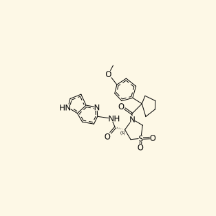 COc1ccc(C2(C(=O)N3CS(=O)(=O)C[C@@H]3C(=O)Nc3ccc4[nH]ccc4n3)CCCC2)cc1